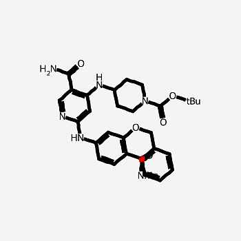 CNC(=O)c1ccc(Nc2cc(NC3CCN(C(=O)OC(C)(C)C)CC3)c(C(N)=O)cn2)cc1OCc1ccccc1